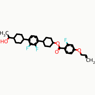 C=CCOc1ccc(C(=O)OC2CCC(c3ccc(C4CCC(C(C)O)CC4)c(F)c3F)CC2)c(F)c1